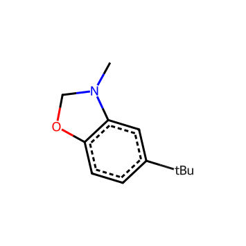 CN1COc2ccc(C(C)(C)C)cc21